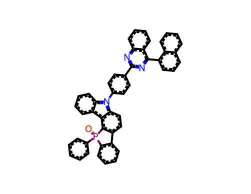 O=P1(c2ccccc2)c2ccccc2-c2ccc3c(c21)c1ccccc1n3-c1ccc(-c2nc(-c3cccc4ccccc34)c3ccccc3n2)cc1